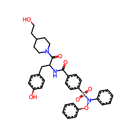 O=C(NC(Cc1ccc(O)cc1)C(=O)N1CCC(CCO)CC1)c1ccc(S(=O)(=O)N(Oc2ccccc2)c2ccccc2)cc1